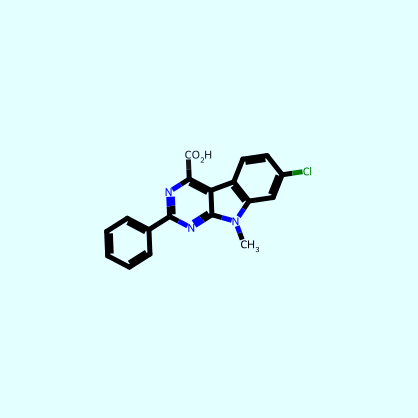 Cn1c2cc(Cl)ccc2c2c(C(=O)O)nc(-c3ccccc3)nc21